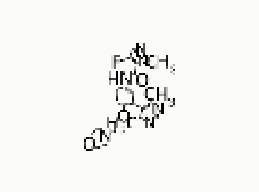 Cc1ncnc(C)c1-c1cc(NC(=O)c2c(F)cnn2C)ccc1OCCN1CCOCC1